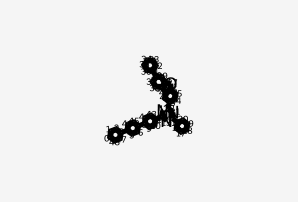 c1ccc(-c2ccc(-c3ccc(-c4nc(-c5ccccc5)nc(-c5ccc6oc7cc(-c8ccccc8)ccc7c6c5)n4)cc3)cc2)cc1